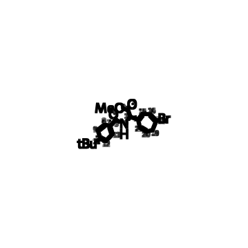 COC(=O)C(NC(=O)c1ccc(C(C)(C)C)cc1)C1=CC=C(Br)CC=C1